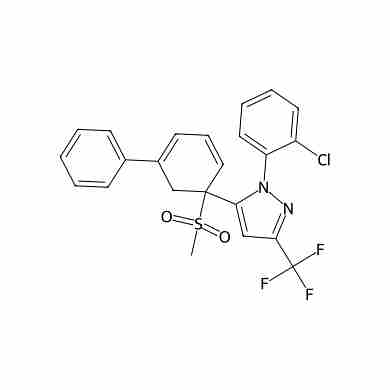 CS(=O)(=O)C1(c2cc(C(F)(F)F)nn2-c2ccccc2Cl)C=CC=C(c2ccccc2)C1